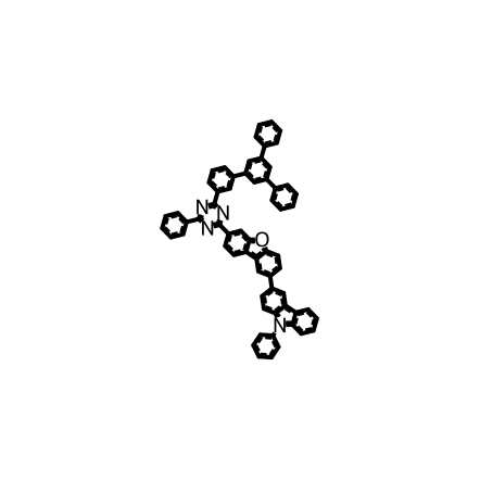 c1ccc(-c2cc(-c3ccccc3)cc(-c3cccc(-c4nc(-c5ccccc5)nc(-c5ccc6c(c5)oc5ccc(-c7ccc8c(c7)c7ccccc7n8-c7ccccc7)cc56)n4)c3)c2)cc1